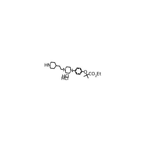 CCOC(=O)C(C)(C)Oc1ccc(N2CCN(CCC3CCNCC3)CC2)cc1.Cl.Cl